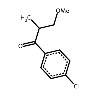 COCC(C)C(=O)c1ccc(Cl)cc1